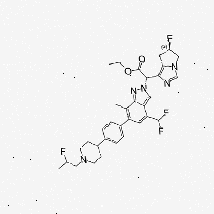 CCOC(=O)C(c1ncn2c1C[C@@H](F)C2)n1cc2c(C(F)F)cc(-c3ccc(C4CCN(CC(C)F)CC4)cc3)c(C)c2n1